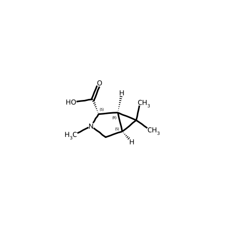 CN1C[C@H]2[C@@H]([C@H]1C(=O)O)C2(C)C